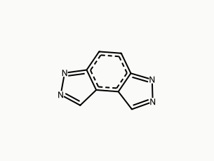 C1=NN=c2ccc3c(c21)C=NN=3